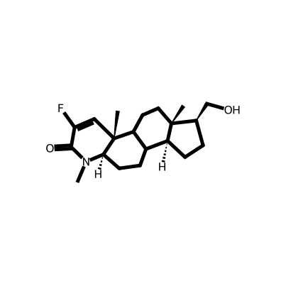 CN1C(=O)C(F)=C[C@]2(C)C3CC[C@]4(C)[C@@H](CO)CC[C@H]4C3CC[C@@H]12